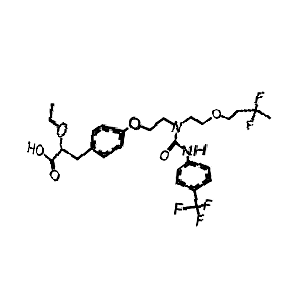 CCOC(Cc1ccc(OCCN(CCOCCC(C)(F)F)C(=O)Nc2ccc(C(F)(F)F)cc2)cc1)C(=O)O